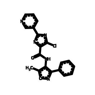 Cc1onc(-c2ccccc2)c1NC(=O)c1sc(-c2cccnc2)nc1Cl